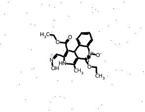 CCOC(=O)C1=C(C)NC(/C=N\O)=C(C(=O)OCC)C1c1ccccc1[N+](=O)[O-]